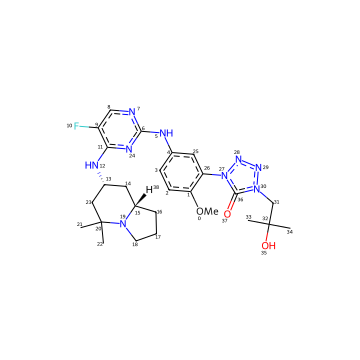 COc1ccc(Nc2ncc(F)c(N[C@@H]3C[C@@H]4CCCN4C(C)(C)C3)n2)cc1-n1nnn(CC(C)(C)O)c1=O